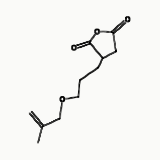 C=C(C)COCCCC1CC(=O)OC1=O